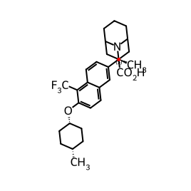 C[C@@H](c1ccc2c(C(F)(F)F)c(O[C@H]3CC[C@@H](C)CC3)ccc2c1)N1C2CCCC1CC(C(=O)O)C2